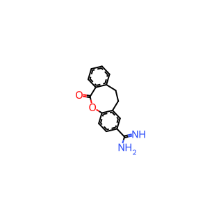 N=C(N)c1ccc2c(c1)CCc1ccccc1C(=O)O2